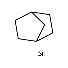 C1CC2CCC1C2.[Si]